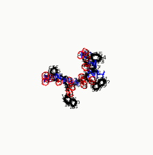 CC(=O)N(CC(C)(C)NCC(COc1cccc2ccccc12)OC(=O)/C=C/C(=O)OC(CNC(C)(C)CN(C(C)=O)C1CCCCC1O[N+](=O)[O-])COc1cccc2ccccc12)C1CCCCC1O[N+](=O)[O-]